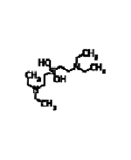 CCN(CC)CC[Si](O)(O)CCN(CC)CC